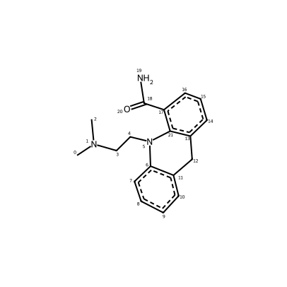 CN(C)CCN1c2ccccc2Cc2cccc(C(N)=O)c21